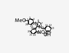 COc1ccc(N2CCN(Cc3ccccc3O)C2c2ccccc2[N+](=O)[O-])cc1